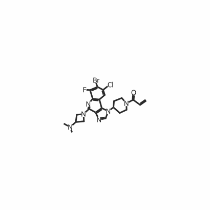 C=CC(=O)N1CCC(n2cnc3c(N4CC(N(C)C)C4)nc4c(F)c(Br)c(Cl)cc4c32)CC1